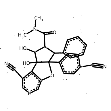 CN(C)C(=O)C1C(O)C2(O)c3c(C#N)cncc3OC2(c2ccc(C#N)cc2)C1c1ccccc1